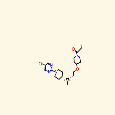 CCC(=O)N1CCC(OCC[C@@H]2C[C@@H]2C2CCN(c3ncc(Cl)cn3)CC2)CC1